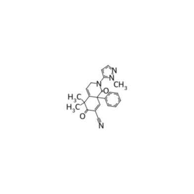 Cn1nccc1N1CC=C2C(C)(C)C(=O)C(C#N)=CC2(c2ccccc2)C1=O